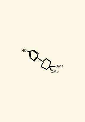 COC1(OC)CCN(c2ccc(O)cc2)CC1